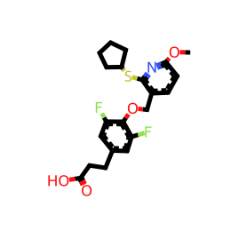 COc1ccc(COc2c(F)cc(CCC(=O)O)cc2F)c(SC2CCCC2)n1